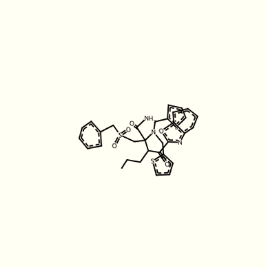 CCCC(C(=O)c1nc2ccccc2o1)C(CS(=O)(=O)Cc1ccccc1)(C(N)=O)N(Cc1cccs1)Cc1cccs1